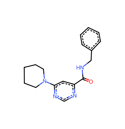 O=C(NCc1ccccc1)c1cc(N2CCCCC2)ncn1